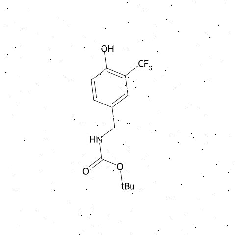 CC(C)(C)OC(=O)NCc1ccc(O)c(C(F)(F)F)c1